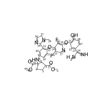 COC(=O)C1CCC(Nc2ccc(Oc3c(F)cnc(Oc4cc(C(=N)N)ccc4O)c3F)c(C3N=CCN3C)c2)(C(=O)OC)C1